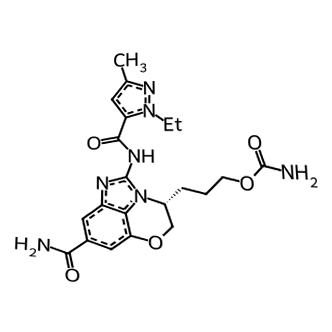 CCn1nc(C)cc1C(=O)Nc1nc2cc(C(N)=O)cc3c2n1[C@H](CCCOC(N)=O)CO3